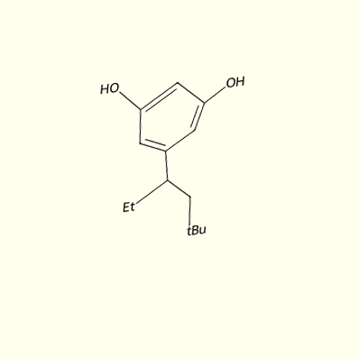 CCC(CC(C)(C)C)c1cc(O)cc(O)c1